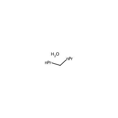 CCCCCCC.O